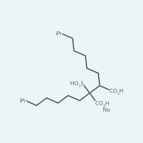 CC(C)CCCCCC(C(=O)O)C(CCCCCC(C)C)(C(=O)O)S(=O)(=O)O.[Na]